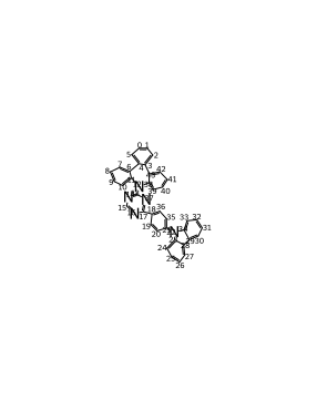 c1ccc2c(c1)-c1ccccc1N(c1ncnc(-c3ccc(-n4c5ccccc5c5ccccc54)cc3)n1)c1ccccc1-2